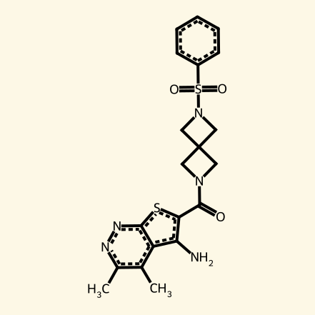 Cc1nnc2sc(C(=O)N3CC4(C3)CN(S(=O)(=O)c3ccccc3)C4)c(N)c2c1C